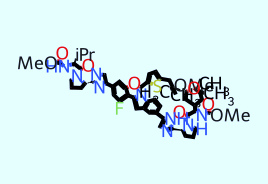 COC(=O)NC(C(=O)N1CCC[C@H]1c1ncc(-c2ccc3c(c2)cc2n3C(c3ccc(CC(C)(C)OC)s3)Oc3cc(C4=NC([C@@H]5CCCN5C(=O)[C@@H](NC(=O)OC)C(C)C)=NC4)cc(F)c3-2)[nH]1)C1CCOC(C)(C)C1